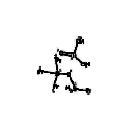 CC(C)[SiH2]O[Si](C(C)C)(C(C)C)C(C)C.[O]=[Ti]([OH])[OH]